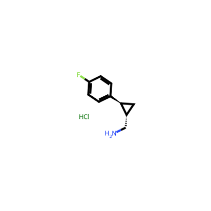 Cl.NC[C@H]1C[C@@H]1c1ccc(F)cc1